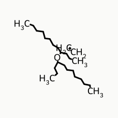 C=C.CCCCCCCCC(CCC)OC(CCC)CCCCCCCC